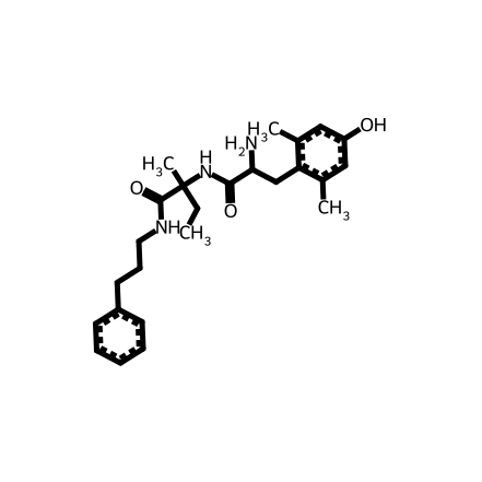 CCC(C)(NC(=O)C(N)Cc1c(C)cc(O)cc1C)C(=O)NCCCc1ccccc1